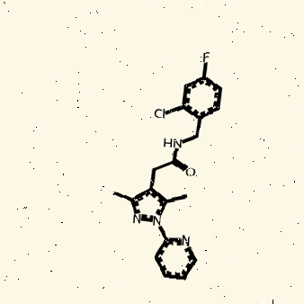 Cc1nn(-c2ccccn2)c(C)c1CC(=O)NCc1ccc(F)cc1Cl